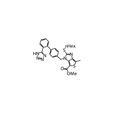 CCCCCCSc1nc2c(C)sc(C(=O)OC)c2n1Cc1ccc(-c2ccccc2-c2nnn[nH]2)cc1